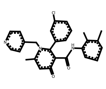 Cc1cccc(NC(=O)c2c(-c3cccc(Cl)c3)n(Cc3ccncc3)c(C)cc2=O)c1C